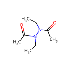 CCN(C(C)=O)N(CC)C(C)=O